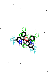 CC(OC(C)(c1ccc(Cl)cc1Cl)c1ncc(C(F)(F)F)cc1Cl)(c1ccc(Cl)cc1Cl)c1ncc(C(F)(F)F)cc1Cl